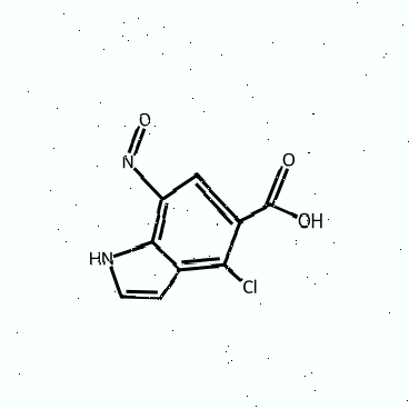 O=Nc1cc(C(=O)O)c(Cl)c2cc[nH]c12